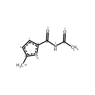 CC(=O)NC(=O)c1ccc(C)s1